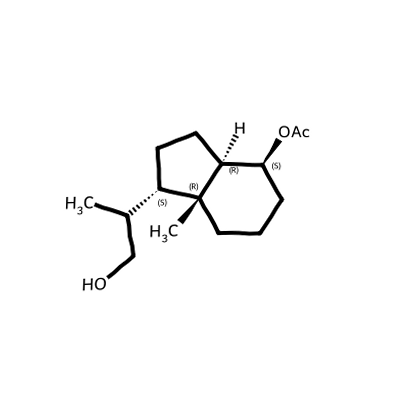 CC(=O)O[C@H]1CCC[C@]2(C)[C@H](C(C)CO)CC[C@@H]12